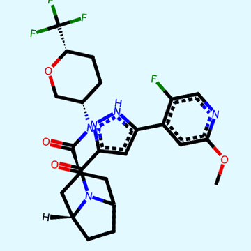 COc1cc(-c2cc(C(=O)N3C4CC[C@@H]3C[C@@H](C(=O)N[C@H]3CC[C@@H](C(F)(F)F)OC3)C4)n[nH]2)c(F)cn1